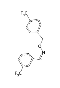 FC(F)(F)c1ccc(CO/N=[C]\c2cccc(C(F)(F)F)c2)cc1